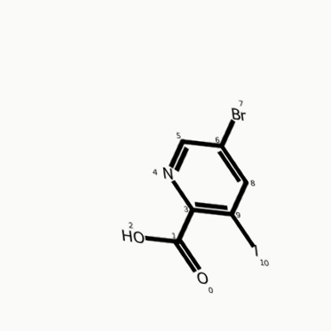 O=C(O)c1ncc(Br)cc1I